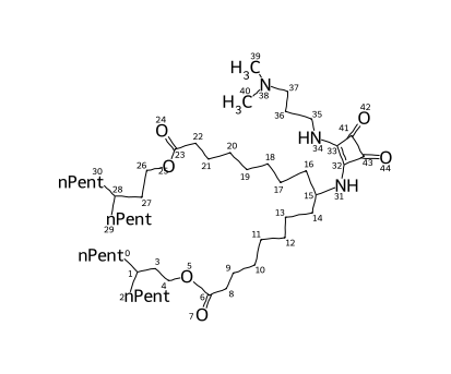 CCCCCC(CCCCC)CCOC(=O)CCCCCCCC(CCCCCCCC(=O)OCCC(CCCCC)CCCCC)Nc1c(NCCCN(C)C)c(=O)c1=O